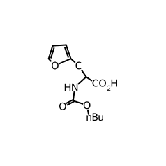 CCCCOC(=O)NC(Cc1ccco1)C(=O)O